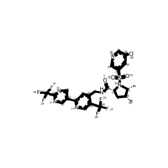 C[C@@H]1[C@H](F)C[C@H](C(=O)NCc2cc(-c3cnc(C(F)(F)F)nc3)ncc2C(F)(F)F)N1S(=O)(=O)c1cncc(Cl)c1